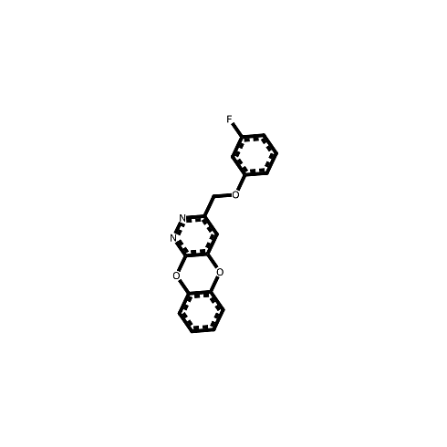 Fc1cccc(OCc2cc3c(nn2)Oc2ccccc2O3)c1